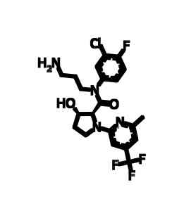 Cc1cc(C(F)(F)F)cc(N2CC[C@@H](O)[C@H]2C(=O)N(CCCN)c2ccc(F)c(Cl)c2)n1